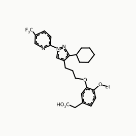 CCOc1ccc(CC(=O)O)cc1OCCCc1cn(-c2ccc(C(F)(F)F)cn2)nc1C1CCCCC1